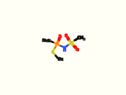 CCC(C)SP(=O)(NC)NS(C)(=O)=O